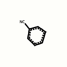 N#Cc1c[c]c[c]c1